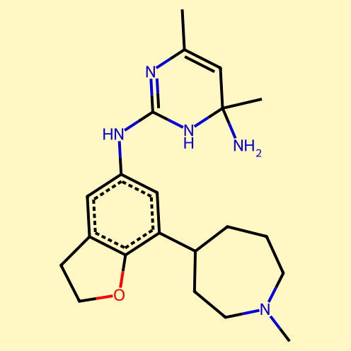 CC1=CC(C)(N)NC(Nc2cc3c(c(C4CCCN(C)CC4)c2)OCC3)=N1